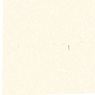 CC(C)COC(=O)CCCOCCOCCOC(C)C